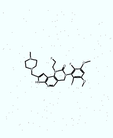 COc1cc(OC)c(F)c(N2Cc3cnc4[nH]c(CN5CCN(C)CC5)cc4c3N(CCF)C2=O)c1F